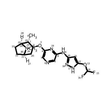 C[C@@H]1[C@@H](Oc2cncc(Nc3cc(OC(F)F)[nH]n3)n2)C[C@H]2CC[C@@H]1N2C